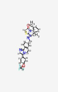 Cc1cccc(C)c1N1C(=O)CS/C1=N\N=C\c1ccc2c(ccn3c(-c4ccc(OC(F)(F)F)cc4)cnc23)c1